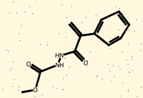 C=C(C(=O)NNC(=O)OC)c1ccccc1